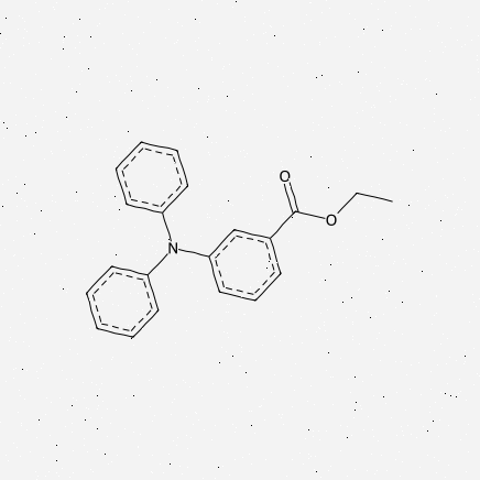 CCOC(=O)c1cccc(N(c2ccccc2)c2ccccc2)c1